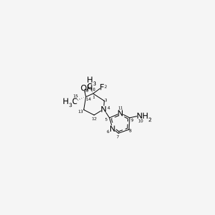 C[C@]1(F)CN(c2nccc(N)n2)CC[C@@]1(C)O